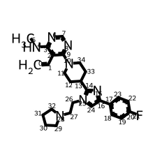 C=Cc1c(NC)ncnc1N1CCC(c2nc(-c3ccc(F)cc3)cn2CCN2CCCC2)CC1